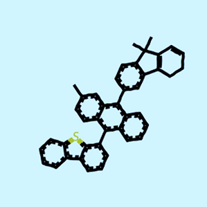 Cc1ccc2c(-c3cccc4c3sc3ccccc34)c3ccccc3c(-c3ccc4c(c3)C3=C(C=CCC3)C4(C)C)c2c1